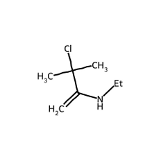 C=C(NCC)C(C)(C)Cl